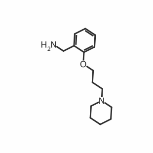 NCc1ccccc1OCCCN1CCCCC1